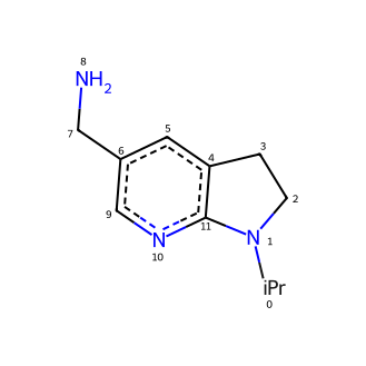 CC(C)N1CCc2cc(CN)cnc21